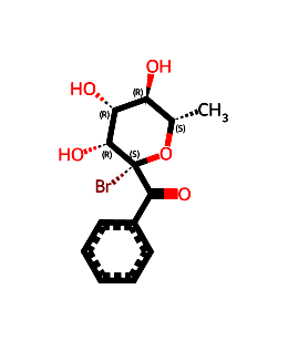 C[C@@H]1O[C@@](Br)(C(=O)c2ccccc2)[C@H](O)[C@H](O)[C@H]1O